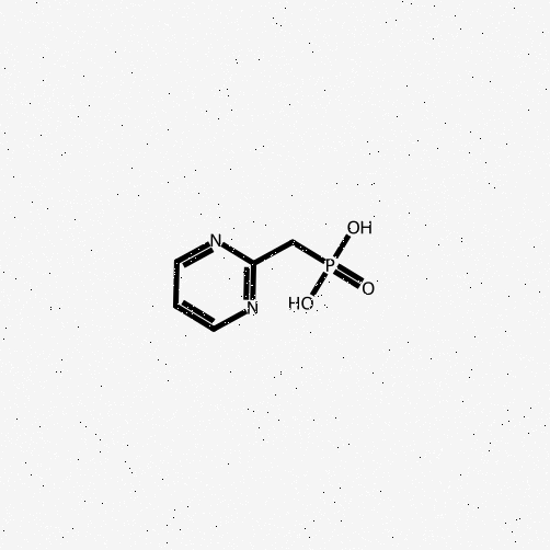 O=P(O)(O)Cc1ncccn1